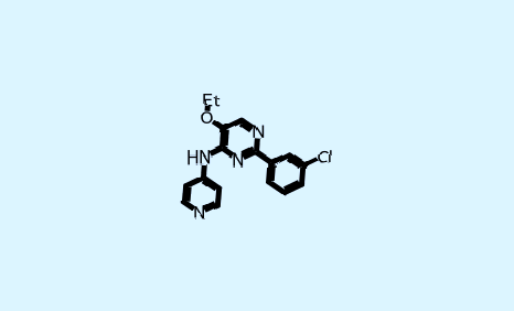 CCOc1cnc(-c2cccc(Cl)c2)nc1Nc1ccncc1